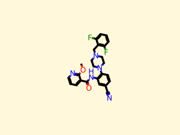 COc1ncccc1C(=O)Nc1cc(C#N)ccc1N1CCN(Cc2c(F)cccc2F)CC1